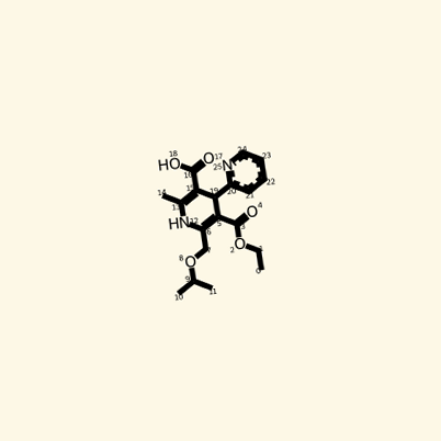 CCOC(=O)C1=C(COC(C)C)NC(C)=C(C(=O)O)C1c1ccccn1